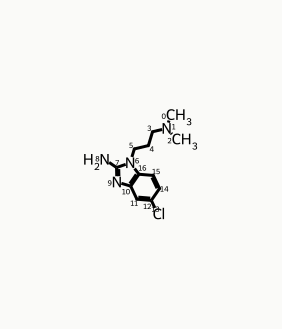 CN(C)CCCn1c(N)nc2cc(Cl)ccc21